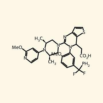 COc1cc(N2[C@H](C)CN(C3=Nc4ccsc4C(CC(=O)O)N3c3cc(C(F)(F)P)ccc3OC)C[C@@H]2C)ccn1